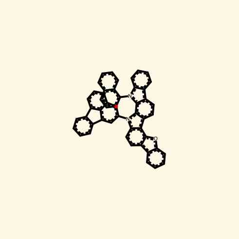 c1ccc2c(c1)-c1cccc3cc(-n4c5ccc6c7ccccc7oc6c5c5ccc6c7ccccc7n(-c7cccc8ccccc78)c6c54)cc-2c13